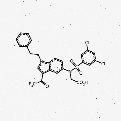 O=C(O)CN(c1ccc2c(c1)c(C(=O)C(F)(F)F)cn2CCc1ccccc1)S(=O)(=O)c1cc(Cl)cc(Cl)c1